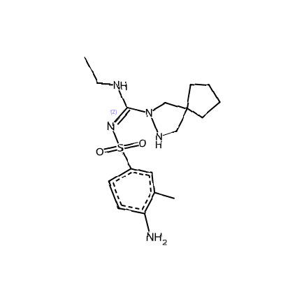 CCN/C(=N/S(=O)(=O)c1ccc(N)c(C)c1)N1CC2(CCCC2)CN1